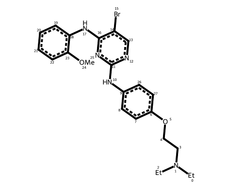 CCN(CC)CCOc1ccc(Nc2ncc(Br)c(Nc3ccccc3OC)n2)cc1